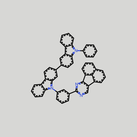 c1ccc(-n2c3ccccc3c3cc(-c4ccc5c6ccccc6n(-c6cccc(-c7ncc8c(n7)-c7cccc9cccc-8c79)c6)c5c4)ccc32)cc1